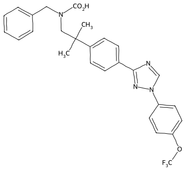 CC(C)(CN(Cc1ccccc1)C(=O)O)c1ccc(-c2ncn(-c3ccc(OC(F)(F)F)cc3)n2)cc1